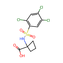 O=C(O)C1(NS(=O)(=O)c2cc(Cl)c(Cl)cc2Cl)CCC1